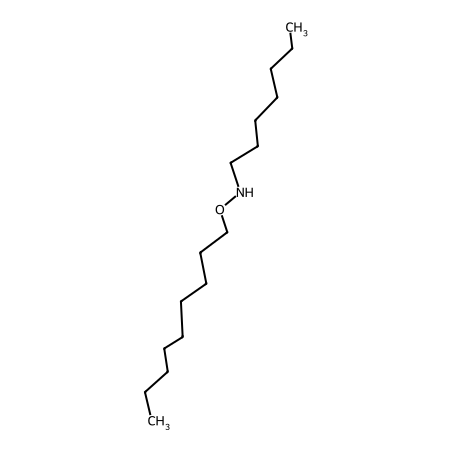 CCCCCCCCCONCCCCCCC